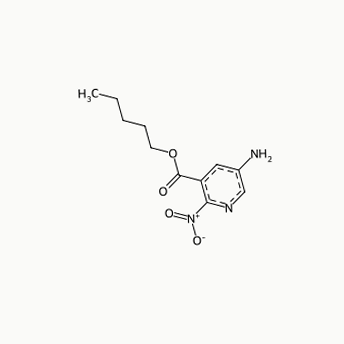 CCCCCOC(=O)c1cc(N)cnc1[N+](=O)[O-]